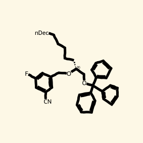 CCCCCCCCCCCCCCC[C@H](COC(c1ccccc1)(c1ccccc1)c1ccccc1)OCc1cc(F)cc(C#N)c1